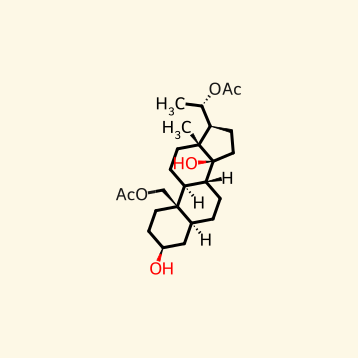 CC(=O)OC[C@]12CC[C@H](O)C[C@@H]1CC[C@@H]1[C@@H]2CC[C@]2(C)[C@@H]([C@H](C)OC(C)=O)CC[C@]12O